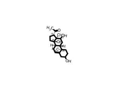 CC(=O)[C@H]1CC[C@@]2(O)[C@@H]3CC=C4CC(O)CC[C@]4(C)[C@H]3CC(O)[C@]12C